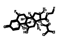 C[C@@H]1C[C@H]2[C@@H]3C[C@H](F)C4=CC(=O)C=C[C@]4(C)[C@@]3(F)C(O)C[C@]2(C)[C@]1(OC(=O)C(Cl)Cl)C(=O)OCF